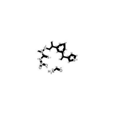 CC(CON(C)C(=S)N=S(=O)=O)c1cccc(C(C)c2ccsc2)c1.NC=O